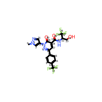 Cn1cc(-n2nc(-c3ccc(C(F)(F)F)cc3)cc(C(=O)NC(CO)C(F)(F)F)c2=O)cn1